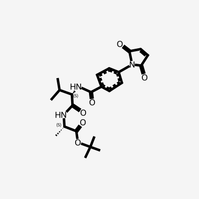 CC(C)[C@H](NC(=O)c1ccc(N2C(=O)C=CC2=O)cc1)C(=O)N[C@@H](C)C(=O)OC(C)(C)C